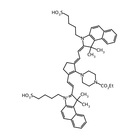 CCOC(=O)N1CCN(C2=C(/C=C/C3=[N+](CCCCS(=O)(=O)O)c4ccc5ccccc5c4C3(C)C)CC/C2=C\C=C2\N(CCCCS(=O)(=O)O)c3ccc4ccccc4c3C2(C)C)CC1